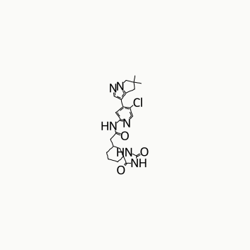 CC1(C)Cc2c(-c3cc(NC(=O)CC4CCCC5(C4)NC(=O)NC5=O)ncc3Cl)cnn2C1